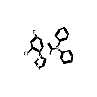 C=C(C)B(c1ccccc1)c1ccccc1.Fc1ccc(-n2ccnc2)c(Cl)c1